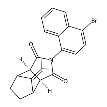 CC(C)=C1C2CCC1[C@@H]1C(=O)N(c3ccc(Br)c4ccccc34)C(=O)[C@H]21